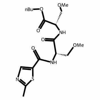 CCCCOC(=O)[C@H](COC)NC(=O)[C@H](COC)NC(=O)c1cnc(C)s1